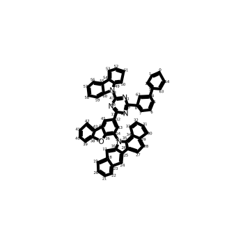 c1ccc(-c2cccc(-c3nc(-c4cc(-n5c6cc7ccccc7cc6c6ccc7ccccc7c65)c5oc6ccccc6c5c4)nc(-n4c5ccccc5c5ccccc54)n3)c2)cc1